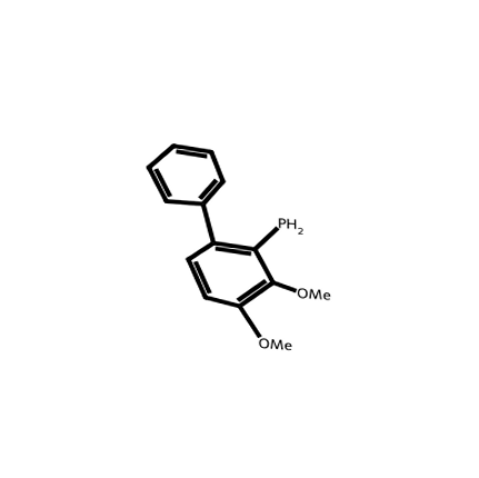 COc1ccc(-c2ccccc2)c(P)c1OC